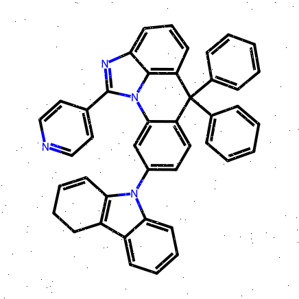 C1=Cc2c(c3ccccc3n2-c2ccc3c(c2)-n2c(-c4ccncc4)nc4cccc(c42)C3(c2ccccc2)c2ccccc2)CC1